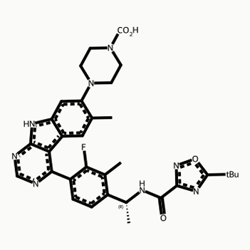 Cc1cc2c(cc1N1CCN(C(=O)O)CC1)[nH]c1ncnc(-c3ccc([C@@H](C)NC(=O)c4noc(C(C)(C)C)n4)c(C)c3F)c12